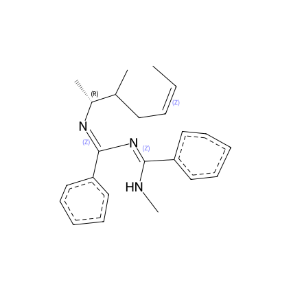 C/C=C\CC(C)[C@@H](C)/N=C(\N=C(/NC)c1ccccc1)c1ccccc1